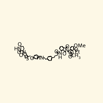 CCOc1cc(C(CS(C)(=O)=O)N2C(=O)c3cccc(NC(=O)CCCc4ccc(CCNCc5ccc(OCc6scc7c6CN(C6CCC(=O)NC6=O)C7=O)cc5)cc4)c3C2=O)ccc1OC